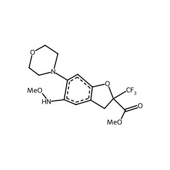 CONc1cc2c(cc1N1CCOCC1)OC(C(=O)OC)(C(F)(F)F)C2